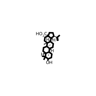 C=C(C)[C@@H]1CCC2(C(=O)O)CC[C@]3(C)[C@H](CC[C@@H]4[C@@]5(C)CCC(O)C(C)(C)[C@@H]5CC[C@]43C)[C@@H]12